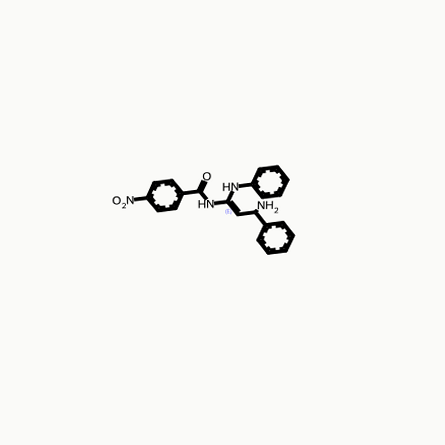 NC(/C=C(/NC(=O)c1ccc([N+](=O)[O-])cc1)Nc1ccccc1)c1ccccc1